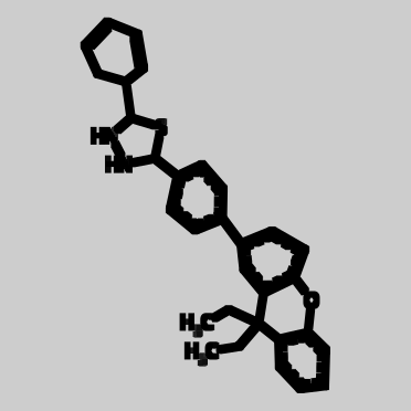 CCC1(CC)c2ccccc2Oc2ccc(-c3ccc(C4NNC(C5C=CC=CC5)S4)cc3)cc21